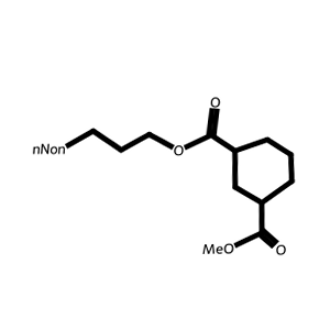 CCCCCCCCCCCCOC(=O)C1CCCC(C(=O)OC)C1